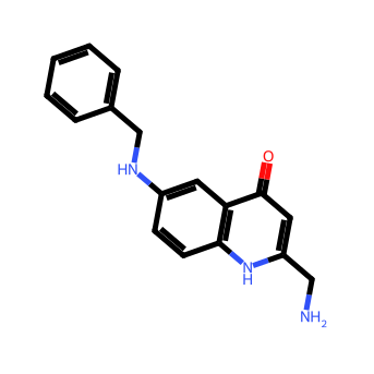 NCc1cc(=O)c2cc(NCc3ccccc3)ccc2[nH]1